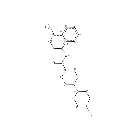 Cc1ccc(OC(=O)C2CCC(C3CCC(C)CC3)CC2)c2ccccc12